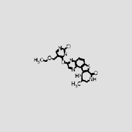 CCOCc1cnc(Cl)nc1Oc1cnc2c(ccc3sc4c(c32)NC(C)CNC4=O)n1